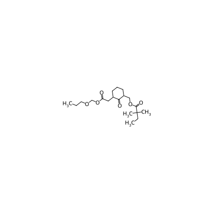 CCCOCOC(=O)CC1CCCC(COC(=O)C(C)(C)CC)C1=O